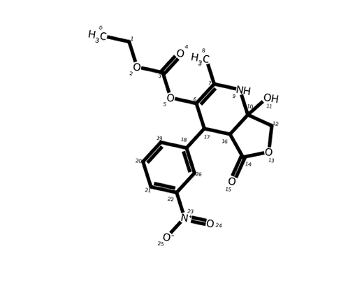 CCOC(=O)OC1=C(C)NC2(O)COC(=O)C2C1c1cccc([N+](=O)[O-])c1